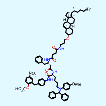 COc1ccc(N(CCCC[C@H](NC(=O)C[C@H](Cc2ccccc2)NC(=O)CCC(=O)NCCCO[C@H]2CC[C@@]3(C)C(=CC[C@H]4[C@@H]5CC[C@H]([C@H](C)CCCC(C)C)[C@@]5(C)CC[C@@H]43)C2)C(=O)Nc2ccc(Cc3cc([N+](=O)[O-])ccc3OC(=O)O)cc2)C(c2ccccc2)c2ccccc2)cc1